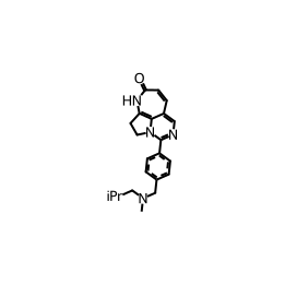 CC(C)CN(C)Cc1ccc(C2=NC=C3C=CC(=O)NC4=C3N2CC4)cc1